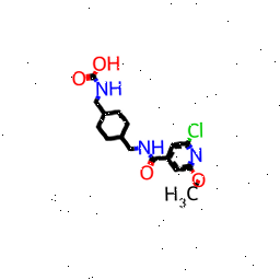 COc1cc(C(=O)NCC2CCC(CNC(=O)O)CC2)cc(Cl)n1